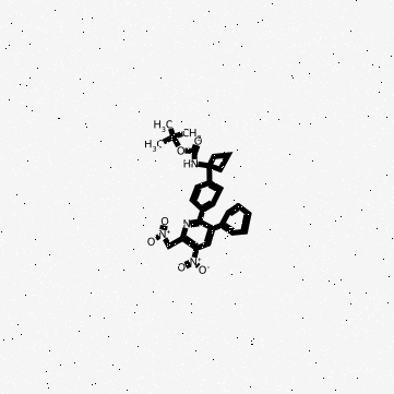 CC(C)(C)OC(=O)NC1(c2ccc(-c3nc(C[N+](=O)[O-])c([N+](=O)[O-])cc3-c3ccccc3)cc2)CCC1